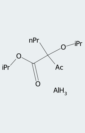 CCCC(OC(C)C)(C(C)=O)C(=O)OC(C)C.[AlH3]